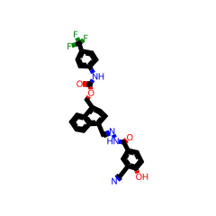 N#Cc1cc(C(=O)N/N=C/c2ccc(COC(=O)Nc3ccc(C(F)(F)F)cc3)c3ccccc23)ccc1O